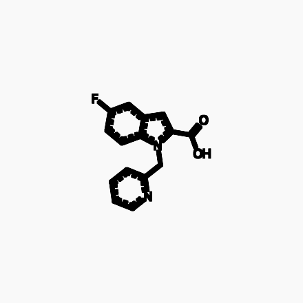 O=C(O)c1cc2cc(F)ccc2n1Cc1ccccn1